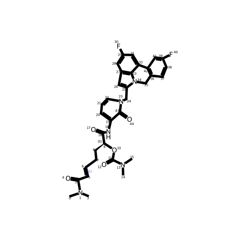 CN(C)C(=O)/C=C/CC[C@H](OC(=O)N(C)C)C(=O)Nc1cccn(Cc2cc3cc(F)cc4c3n2Cc2ccc(F)cc2-4)c1=O